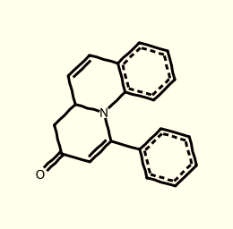 O=C1C=C(c2ccccc2)N2c3ccccc3C=CC2C1